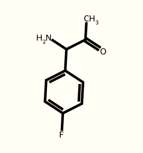 CC(=O)C(N)c1ccc(F)cc1